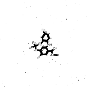 COC(=O)c1cc(F)c(OC(F)(F)F)cc1Nc1ccc(F)cc1C